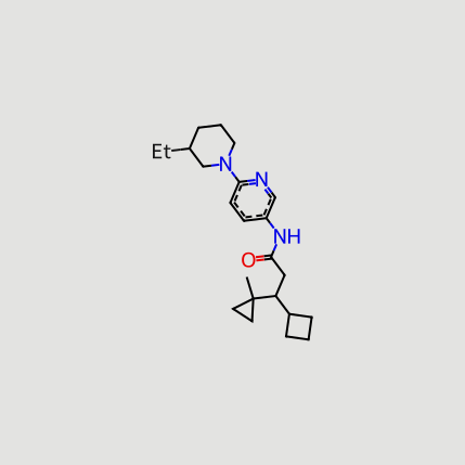 CCC1CCCN(c2ccc(NC(=O)CC(C3CCC3)C3(C)CC3)cn2)C1